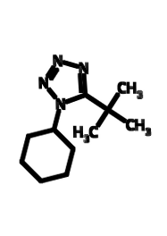 CC(C)(C)c1nnnn1C1CCCCC1